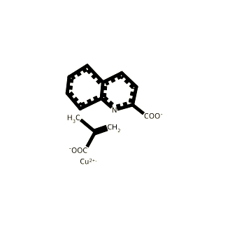 C=C(C)C(=O)[O-].O=C([O-])c1ccc2ccccc2n1.[Cu+2]